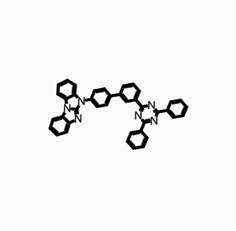 c1ccc(-c2nc(-c3ccccc3)nc(-c3cccc(-c4ccc(-n5c6ccccc6n6c7ccccc7nc56)cc4)c3)n2)cc1